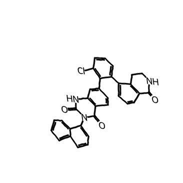 O=C1NCCc2c1cccc2-c1cccc(Cl)c1-c1ccc2c(=O)n(-c3cccc4ccccc34)c(=O)[nH]c2c1